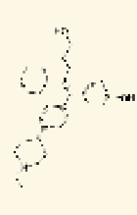 CC(C)N1CCN(c2ccc(/C(=C(/CCCO)C3C=CC=CC3)c3ccc(O)cc3)cc2)CC1